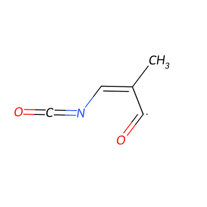 CC([C]=O)=CN=C=O